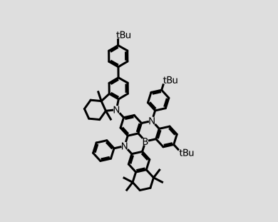 CC(C)(C)c1ccc(-c2ccc3c(c2)C2(C)CCCCC2(C)N3c2cc3c4c(c2)N(c2ccccc2)c2cc5c(cc2B4c2cc(C(C)(C)C)ccc2N3c2ccc(C(C)(C)C)cc2)C(C)(C)CCC5(C)C)cc1